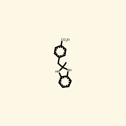 CCOC(=O)c1ccc(CC2(C)Nc3ccccc3N2)cc1